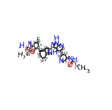 CCCC(=O)Nc1cncc(-c2cnc3[nH]nc(-c4cc5c(-c6cc(F)cc(C(N)S(C)(=O)=O)c6)cccc5[nH]4)c3c2)c1